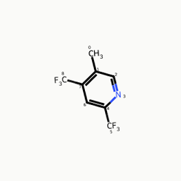 Cc1cnc(C(F)(F)F)cc1C(F)(F)F